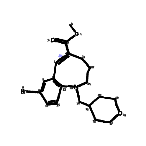 COC(=O)/C1=C/c2cc(Br)ccc2N(CC2CCOCC2)CCC1